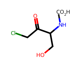 O=C(O)NC(CO)C(=O)CCl